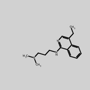 CCc1cnc(NCCCN(C)C)c2ccccc12